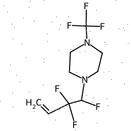 C=CC(F)(F)C(F)N1CCN(C(F)(F)F)CC1